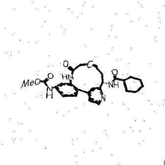 COC(=O)Nc1ccc2c(c1)NC(=O)CCCC[C@H](NC(=O)C1CCCCC1)c1cc-2ccn1